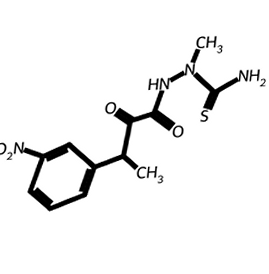 CC(C(=O)C(=O)NN(C)C(N)=S)c1cccc([N+](=O)[O-])c1